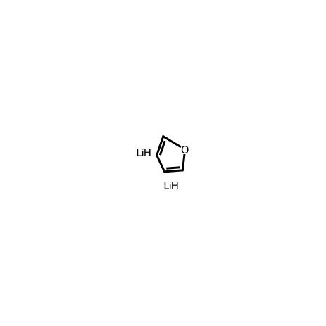 [LiH].[LiH].c1ccoc1